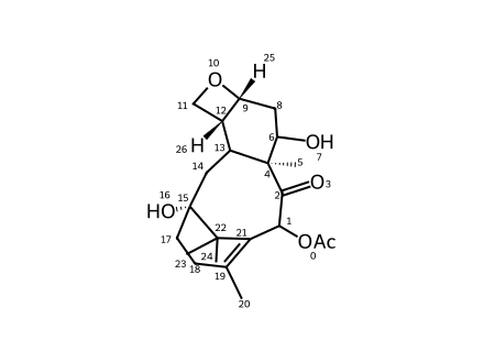 CC(=O)OC1C(=O)[C@]2(C)C(O)C[C@H]3OC[C@H]3C2C[C@]2(O)CCC(C)=C1C2(C)C